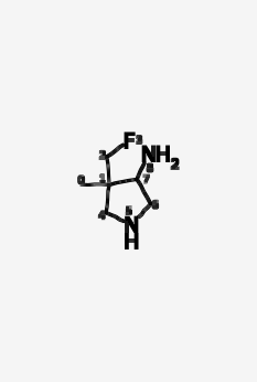 CC1(CF)CNCC1N